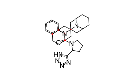 O=C(N1CCCC1c1nnn[nH]1)N(c1ccccc1)C1CC2CCCC(C1)N2C1CC2CCCC(C2)C1